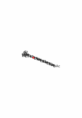 CCO[Si](CCCOCCOCCOCCOCCOCCOCCOCCOCCOC(C)=O)(OCC)OCC